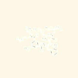 CCCN(CCC)C(=O)c1cc(C)cc(C(=O)NC(Cc2ccccc2)C(O)C(NCCOC)C(=O)NCC(C)C)c1